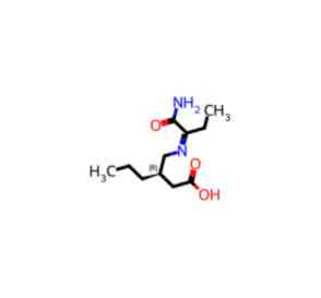 CCC[C@@H](CN=C(CC)C(N)=O)CC(=O)O